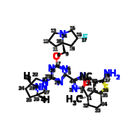 C[C@@]1(c2nc(-c3nc(OC[C@@]45CCCN4C[C@H](F)C5)nc(N4C[C@H]5CC[C@@H](C4)N5)n3)no2)CCCc2sc(N)c(C#N)c21